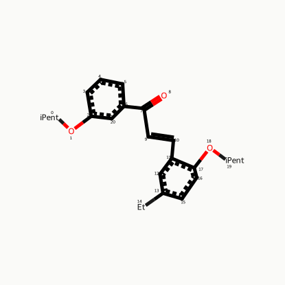 CCCC(C)Oc1cccc(C(=O)C=Cc2cc(CC)ccc2OC(C)CCC)c1